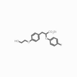 CCOC(=O)C(Cc1ccc(OCCO)cc1)Oc1ccc(F)cc1